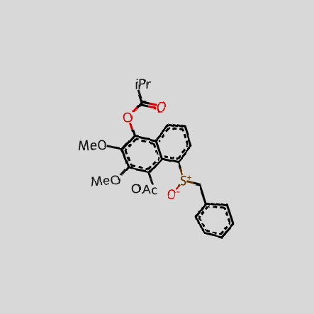 COc1c(OC)c(OC(C)=O)c2c([S+]([O-])Cc3ccccc3)cccc2c1OC(=O)C(C)C